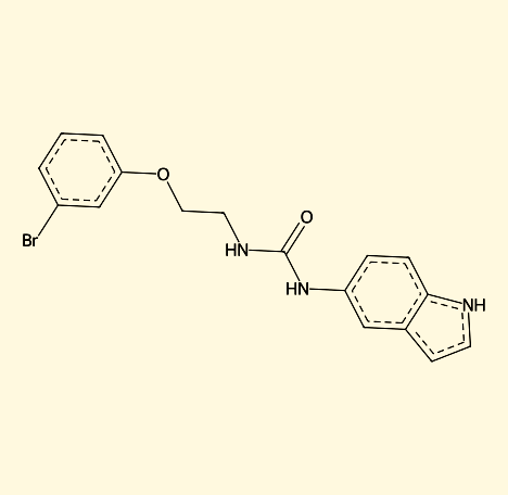 O=C(NCCOc1cccc(Br)c1)Nc1ccc2[nH]ccc2c1